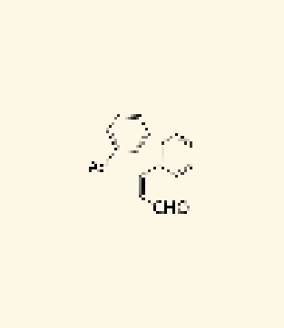 CC(=O)c1ccccc1.O=C/C=C\c1ccccc1